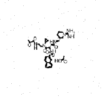 CC(=O)C(=O)NCCN(C(=O)[C@H](CC(=O)NC[C@@H]1CCCN(C(=N)N)C1)NS(=O)(=O)c1ccc2ccccc2c1)C1CC1.CC(=O)O